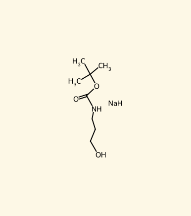 CC(C)(C)OC(=O)NCCCO.[NaH]